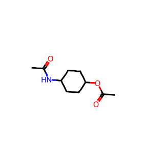 CC(=O)NC1CCC(OC(C)=O)CC1